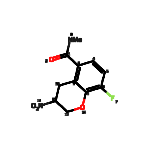 CNC(=O)c1ccc(F)c2c1CC([N+](=O)[O-])CO2